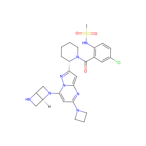 CS(=O)(=O)Nc1ccc(Cl)cc1C(=O)N1CCCC[C@H]1c1cc2nc(N3CCC3)cc(N3CC4NC[C@@H]43)n2n1